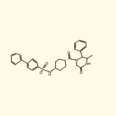 CC1NC(=O)CN(C(=O)[C@H]2CC[C@H](NS(=O)(=O)c3ccc(-c4ccccc4)cc3)CC2)C1c1ccccc1